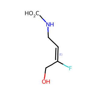 O=C(O)NC/C=C(/F)CO